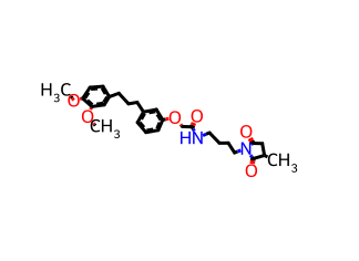 COc1ccc(CCCc2cccc(OCC(=O)NCCCCN3C(=O)CC(C)C3=O)c2)cc1OC